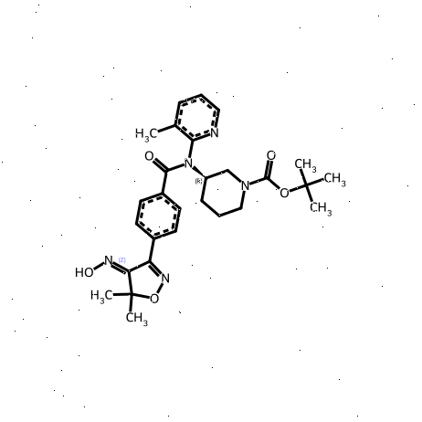 Cc1cccnc1N(C(=O)c1ccc(C2=NOC(C)(C)/C2=N\O)cc1)[C@@H]1CCCN(C(=O)OC(C)(C)C)C1